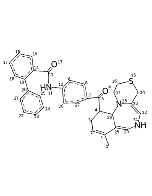 CC1=CCC(C(=O)c2ccc(NC(=O)c3ccccc3-c3ccccc3)cc2)C2C1=CNC=C1CSCCN12